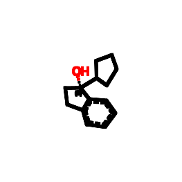 O[C@@]1(C2CCCC2)CCc2ccccc21